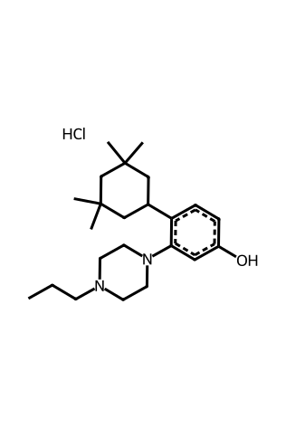 CCCN1CCN(c2cc(O)ccc2C2CC(C)(C)CC(C)(C)C2)CC1.Cl